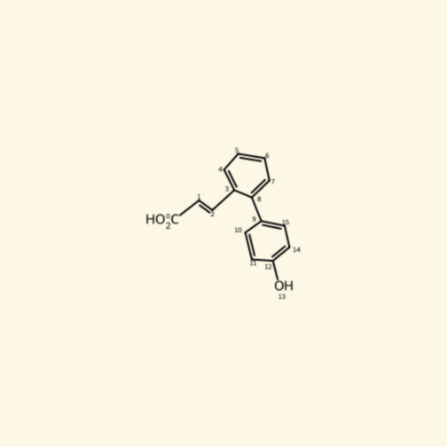 O=C(O)C=Cc1ccccc1-c1ccc(O)cc1